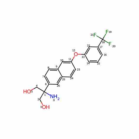 NC(CO)(CO)c1ccc2cc(Oc3cccc(C(F)(F)F)c3)ccc2c1